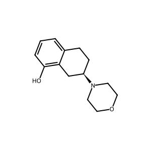 Oc1cccc2c1C[C@H](N1CCOCC1)CC2